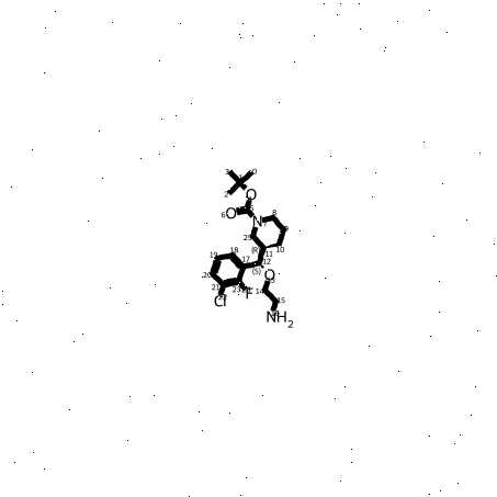 CC(C)(C)OC(=O)N1CCC[C@@H]([C@H](OCCN)c2cccc(Cl)c2F)C1